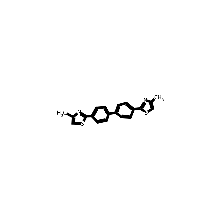 Cc1csc(-c2ccc(-c3ccc(-c4nc(C)cs4)cc3)cc2)n1